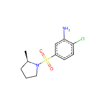 C[C@@H]1CCCN1S(=O)(=O)c1ccc(Cl)c(N)c1